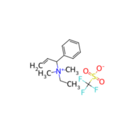 C=CC(c1ccccc1)[N+](C)(C)CC.O=S(=O)([O-])C(F)(F)F